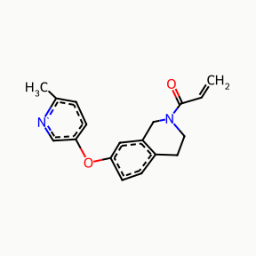 C=CC(=O)N1CCc2ccc(Oc3ccc(C)nc3)cc2C1